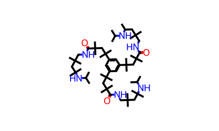 CC(C)NC(C)CC(C)(C)CNC(=O)C(C)(C)CC(C)(C)c1cc(C(C)(C)CC(C)(C)C(=O)NCC(C)(C)CC(C)(C)NC(C)C)cc(C(C)(C)CC(C)(C)C(=O)NCC(C)(C)CC(C)(C)NC(C)C)c1